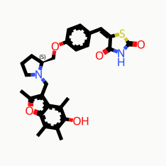 Cc1oc2c(C)c(C)c(O)c(C)c2c1CN1CCC[C@H]1COc1ccc(C=C2SC(=O)NC2=O)cc1